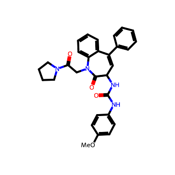 COc1ccc(NC(=O)NC2C=C(c3ccccc3)c3ccccc3N(CC(=O)N3CCCC3)C2=O)cc1